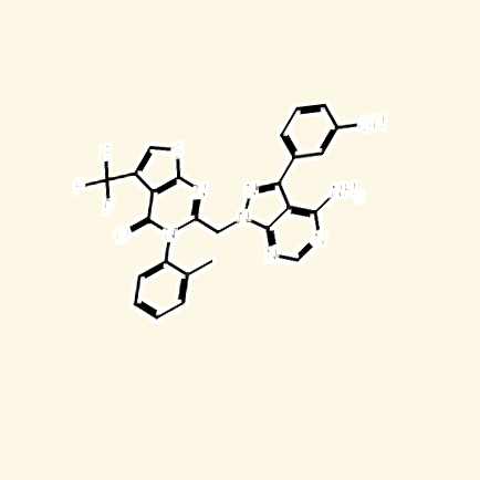 Cc1ccccc1-n1c(Cn2nc(-c3cccc(O)c3)c3c(N)ncnc32)nc2scc(C(F)(F)F)c2c1=O